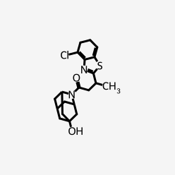 CC(CC(=O)N1C2CC3CC1CC(O)(C3)C2)c1nc2c(s1)=CCCC=2Cl